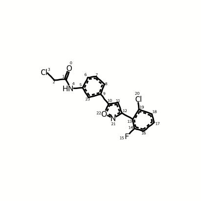 O=C(CCl)Nc1cccc(-c2cc(-c3c(F)cccc3Cl)no2)c1